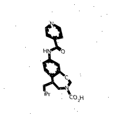 CC(C)CC1CN(C(=O)O)CCc2cc(NC(=O)c3ccncc3)ccc21